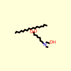 CCCCCCCCC(CCCCCCCC)OC(=O)CCCCCCCN(CC)CCO